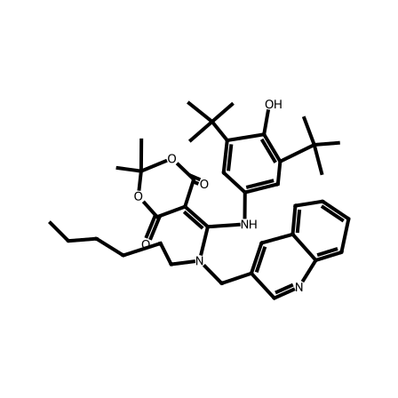 CCCCCCN(Cc1cnc2ccccc2c1)C(Nc1cc(C(C)(C)C)c(O)c(C(C)(C)C)c1)=C1C(=O)OC(C)(C)OC1=O